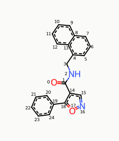 O=C(NCc1cccc2ccccc12)c1cnoc1-c1ccccc1